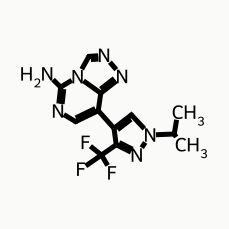 CC(C)n1cc(-c2cnc(N)n3cnnc23)c(C(F)(F)F)n1